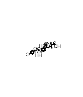 Cc1[nH]c(/C=C2\C(=O)Nc3cc(NC(=O)NC(=O)c4ccc(Cl)cc4)ccc32)c(C)c1C(=O)O